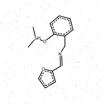 C[SiH](C)Oc1ccccc1CN=Cc1ccco1